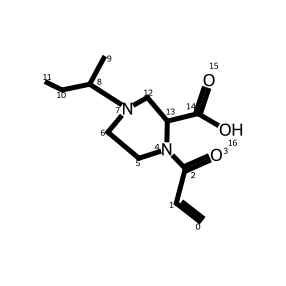 C=CC(=O)N1CCN(C(C)CC)CC1C(=O)O